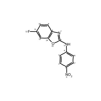 O=[N+]([O-])c1ccc(Nc2nc3ccc(F)cc3o2)cc1